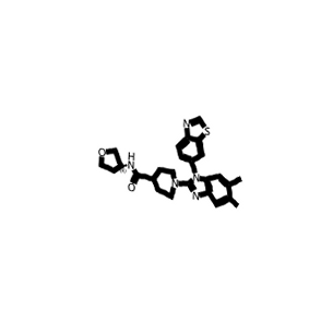 Cc1cc2nc(N3CCC(C(=O)N[C@@H]4CCOC4)CC3)n(-c3ccc4ncsc4c3)c2cc1C